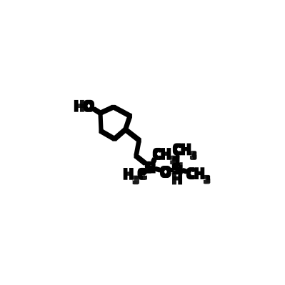 C[SiH](C)O[Si](C)(C)CCC1CCC(O)CC1